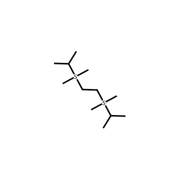 CC(C)S(C)(C)CCS(C)(C)C(C)C